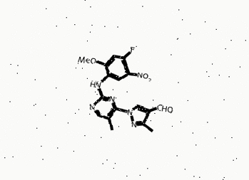 COc1cc(F)c([N+](=O)[O-])cc1Nc1ncc(C)c(-n2cc(C=O)c(C)n2)n1